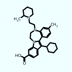 Cc1ccc2c(c1)N(CCN1CCCCC1C)CCn1c-2c(C2CCCCC2)c2ccc(C(=O)O)cc21